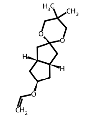 C=CO[C@H]1C[C@@H]2CC3(C[C@@H]2C1)OCC(C)(C)CO3